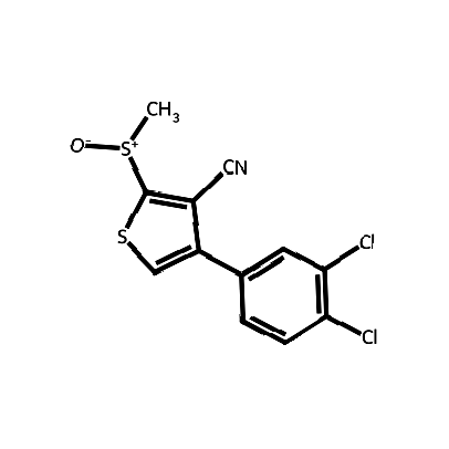 C[S+]([O-])c1scc(-c2ccc(Cl)c(Cl)c2)c1C#N